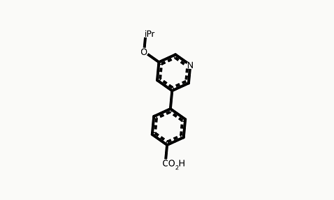 CC(C)Oc1cncc(-c2ccc(C(=O)O)cc2)c1